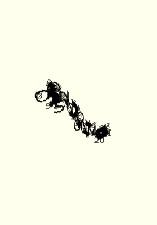 COC(=O)c1csc(N2CCC(OC(=O)N3CCN(C4CCC4)CC3)CC2)n1